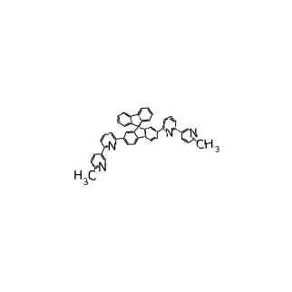 Cc1ccc(-c2cccc(-c3ccc4c(c3)C3(c5ccccc5-c5ccccc53)c3cc(-c5cccc(-c6ccc(C)nc6)n5)ccc3-4)n2)cn1